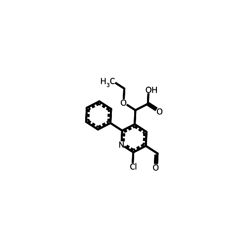 CCOC(C(=O)O)c1cc(C=O)c(Cl)nc1-c1ccccc1